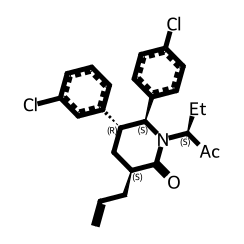 C=CC[C@H]1C[C@H](c2cccc(Cl)c2)[C@@H](c2ccc(Cl)cc2)N([C@@H](CC)C(C)=O)C1=O